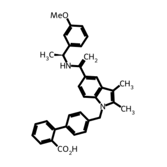 C=C(N[C@@H](C)c1cccc(OC)c1)c1ccc2c(c1)c(C)c(C)n2Cc1ccc(-c2ccccc2C(=O)O)cc1